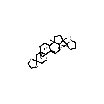 CC1([C@@]2(O)CC[C@H]3[C@@H]4CC[C@@]56CC7(CC[C@@]5(O6)C4=CC[C@@]32C)OCCO7)OCCO1